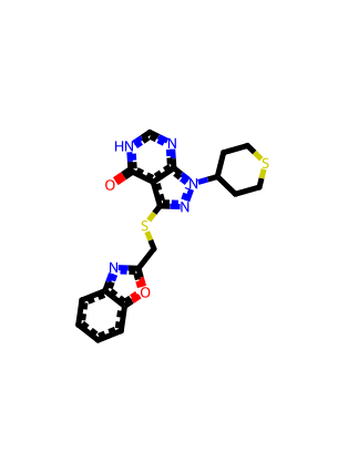 O=c1[nH]cnc2c1c(SCc1nc3ccccc3o1)nn2C1CCSCC1